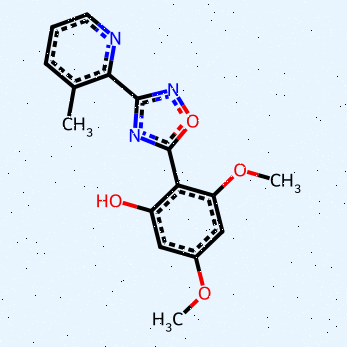 COc1cc(O)c(-c2nc(-c3ncccc3C)no2)c(OC)c1